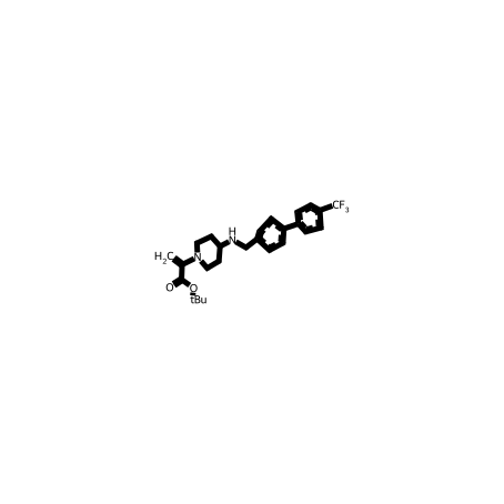 C=C(C(=O)OC(C)(C)C)N1CCC(NCc2ccc(-c3ccc(C(F)(F)F)cc3)cc2)CC1